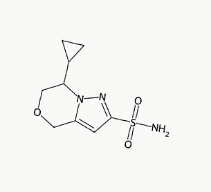 NS(=O)(=O)c1cc2n(n1)C(C1CC1)COC2